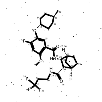 COc1cc(F)c(O[C@H]2CC[C@H](C)CC2)cc1C(=O)N[C@@H]1[C@H]2CC[C@H](C2)[C@@H]1C(=O)NCCC(F)(F)F